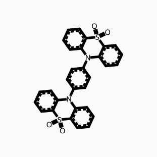 O=S1(=O)c2ccccc2N(c2ccc(N3c4ccccc4S(=O)(=O)c4ccccc43)cc2)c2ccccc21